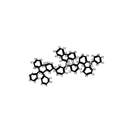 c1ccc(-c2c(-c3ccccc3)c3cc(-c4cccc(N(c5cccc(-c6cccc7c6c6ccccc6n7-c6ccccc6)c5)c5cc6ccccc6c6ccccc56)c4)ccc3c3ccccc23)cc1